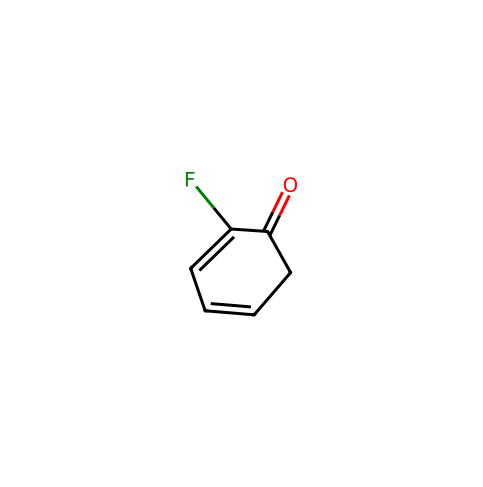 O=C1CC=CC=C1F